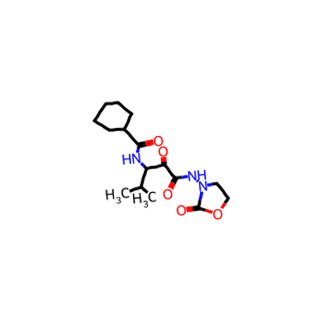 CC(C)C(NC(=O)C1CCCCC1)C(=O)C(=O)NN1CCOC1=O